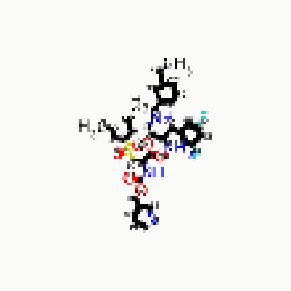 CCCC(CCC)S(=O)(=O)C[C@@H](NC(=O)OCc1cccnc1)C(=O)O[C@H](CNCc1cccc(CC)c1)[C@@H](N)Cc1cc(F)cc(F)c1